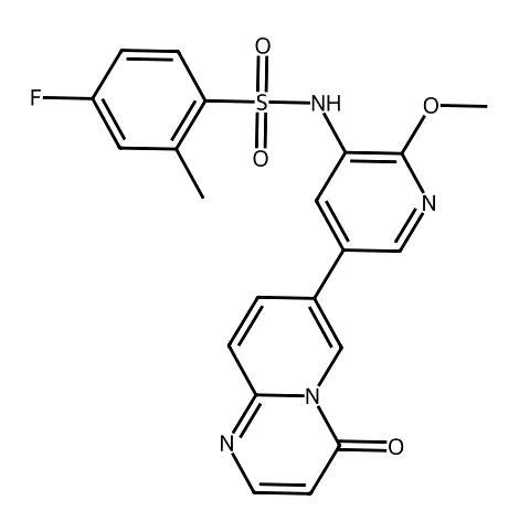 COc1ncc(-c2ccc3nccc(=O)n3c2)cc1NS(=O)(=O)c1ccc(F)cc1C